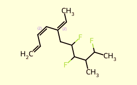 C=C/C=C\C(=C/C)CC(F)C(F)C(C)C(C)F